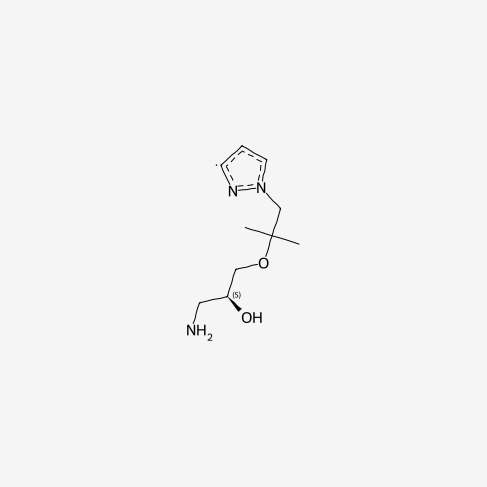 CC(C)(Cn1cc[c]n1)OC[C@@H](O)CN